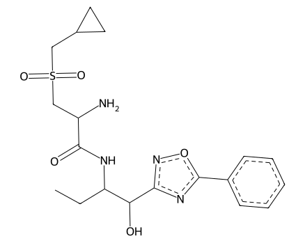 CCC(NC(=O)C(N)CS(=O)(=O)CC1CC1)C(O)c1noc(-c2ccccc2)n1